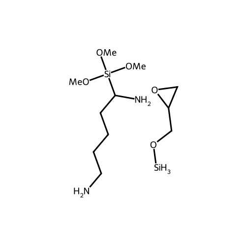 CO[Si](OC)(OC)C(N)CCCCN.[SiH3]OCC1CO1